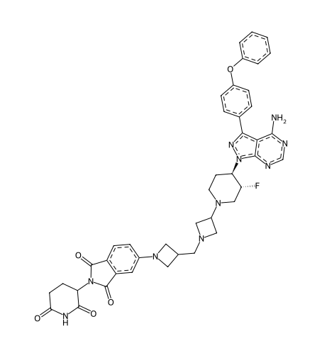 Nc1ncnc2c1c(-c1ccc(Oc3ccccc3)cc1)nn2[C@@H]1CCN(C2CN(CC3CN(c4ccc5c(c4)C(=O)N(C4CCC(=O)NC4=O)C5=O)C3)C2)C[C@H]1F